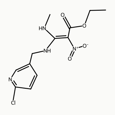 CCOC(=O)/C(=C(\NC)NCc1ccc(Cl)nc1)[N+](=O)[O-]